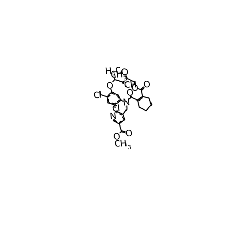 C#CC(C)Oc1cc(N(Cc2cncc(C(=O)OC)c2)C(=O)C2=C(C(=O)OCCOC)CCCC2)c(Cl)cc1Cl